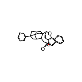 O=C1CC2C3CC4CC(c5ccccc5)(C3)CC2(C4)C2C=Cc3cc(c4ccccc4c3O2)O1